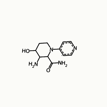 NC(=O)C1C(N)C(O)CCN1c1[c]cncc1